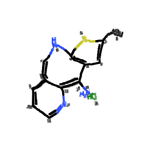 CC(C)(C)c1cc2c(s1)NC=c1cccnc1=C2N.Cl